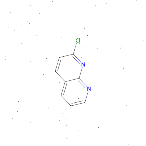 Clc1ccc2c[c]cnc2n1